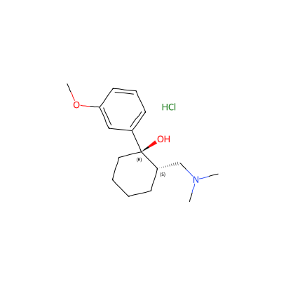 COc1cccc([C@@]2(O)CCCC[C@H]2CN(C)C)c1.Cl